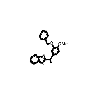 COc1ccc(C(C)c2nc3ccccc3s2)cc1OCc1ccccc1